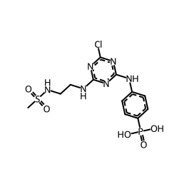 CS(=O)(=O)NCCNc1nc(Cl)nc(Nc2ccc(P(=O)(O)O)cc2)n1